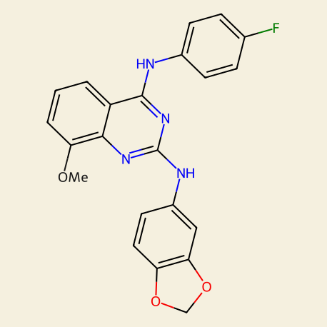 COc1cccc2c(Nc3ccc(F)cc3)nc(Nc3ccc4c(c3)OCO4)nc12